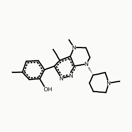 Cc1ccc(-c2nnc3c(c2C)N(C)CCN3[C@H]2CCCN(C)C2)c(O)c1